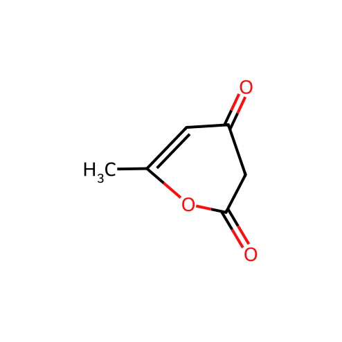 CC1=CC(=O)CC(=O)O1